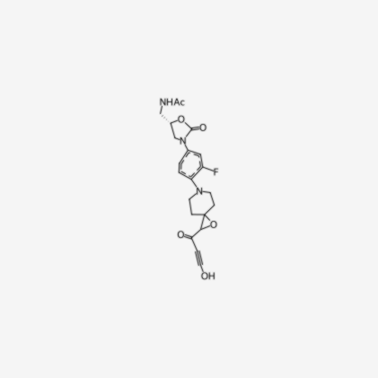 CC(=O)NC[C@H]1CN(c2ccc(N3CCC4(CC3)OC4C(=O)C#CO)c(F)c2)C(=O)O1